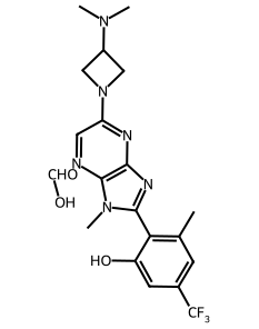 Cc1cc(C(F)(F)F)cc(O)c1-c1nc2nc(N3CC(N(C)C)C3)cnc2n1C.O=CO